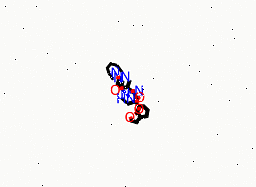 O=C(CN1CC2CCC(C1)N2c1ccc(-c2noc(=O)[nH]2)cn1)N1CC=C(c2cccc3ccoc23)CC1